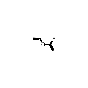 C=COC(=C)F